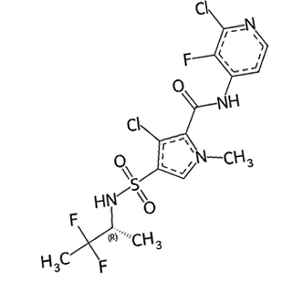 C[C@@H](NS(=O)(=O)c1cn(C)c(C(=O)Nc2ccnc(Cl)c2F)c1Cl)C(C)(F)F